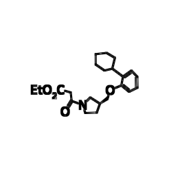 CCOC(=O)CC(=O)N1CC[C@H](COc2ccccc2C2CCCCC2)C1